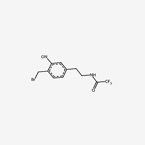 O=Nc1cc(CCNC(=O)C(F)(F)F)ccc1CBr